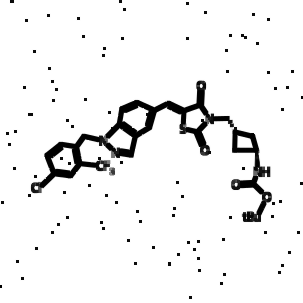 CC(C)(C)OC(=O)N[C@H]1C[C@H](CN2C(=O)SC(=Cc3ccc4c(cnn4Cc4ccc(Cl)cc4C(F)(F)F)c3)C2=O)C1